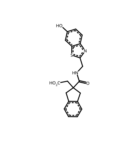 O=C(O)CC1(C(=O)NCc2nc3ccc(O)cc3s2)Cc2ccccc2C1